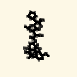 COc1ccc2c3c1O[C@H]1C(OC(=O)[C@H](O)[C@@H](OC(C)=O)C(=O)O[C@H](C(=O)O)c4ccccc4)=CC[C@@]4(O)[C@@H](C2)N(C)CC[C@]314